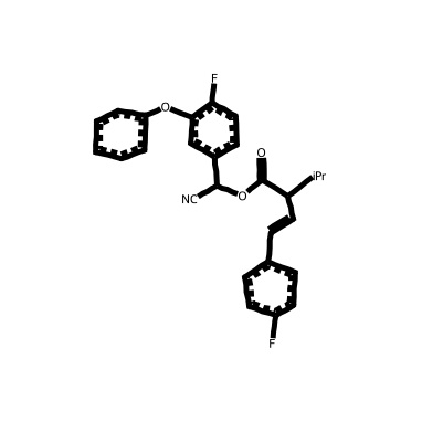 CC(C)C(C=Cc1ccc(F)cc1)C(=O)OC(C#N)c1ccc(F)c(Oc2ccccc2)c1